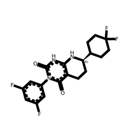 O=c1[nH]c2c(c(=O)n1-c1cc(F)cc(F)c1)CC[C@H](C1CCC(F)(F)CC1)N2